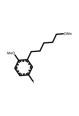 COCCCCCc1cc(I)ccc1OC